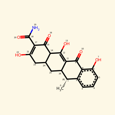 C[C@H]1c2cccc(O)c2C(=O)C2=C(O)C3C(=O)C(C(N)=O)=C(O)CC3CC21